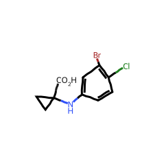 O=C(O)C1(Nc2ccc(Cl)c(Br)c2)CC1